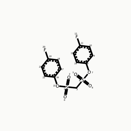 O=S(=O)(CS(=O)(=O)Oc1ccc(F)cc1)Oc1ccc(F)cc1